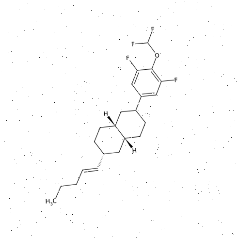 CCCC=C[C@@H]1CC[C@@H]2CC(c3cc(F)c(OC(F)F)c(F)c3)CC[C@@H]2C1